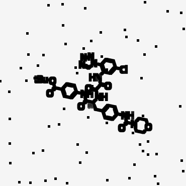 CC(C)(C)OC(=O)c1ccc(NC(=O)[C@H](Cc2ccc(NC(=O)N3CCOCC3)cc2)NC(=O)C(=O)Nc2cc(Cl)ccc2-n2cnnn2)cc1